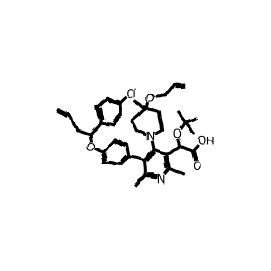 C=CCOC1(C)CCN(c2c(-c3ccc(OC(CC=C)c4ccc(Cl)cc4)cc3)c(C)nc(C)c2C(OC(C)(C)C)C(=O)O)CC1